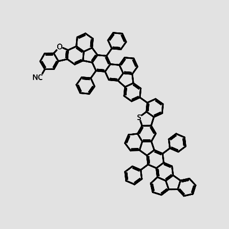 N#Cc1ccc2oc3c(cc4c5c(-c6ccccc6)c6cc7c8ccc(-c9cccc%10c9sc9c%10cc%10c%11c(-c%12ccccc%12)c%12cc%13c%14ccccc%14c%14cccc(c%12c(-c%12ccccc%12)c%11c%11cccc9c%10%11)c%14%13)cc8c8cccc(c6c(-c6ccccc6)c5c5cccc3c45)c87)c2c1